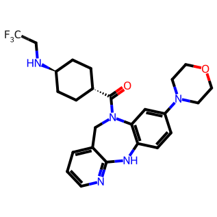 O=C([C@H]1CC[C@H](NCC(F)(F)F)CC1)N1Cc2cccnc2Nc2ccc(N3CCOCC3)cc21